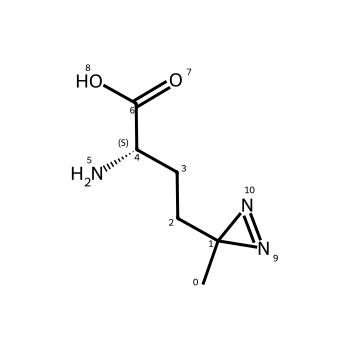 CC1(CC[C@H](N)C(=O)O)N=N1